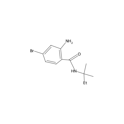 CCC(C)(C)NC(=O)c1ccc(Br)cc1N